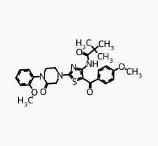 COc1ccc(C(=O)c2sc(N3CCN(c4ccccc4OC)C(=O)C3)nc2NC(=O)C(C)(C)C)cc1